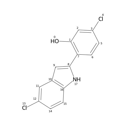 Oc1cc(Cl)ccc1-c1cc2cc(Cl)ccc2[nH]1